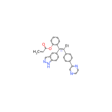 C=CC(=O)Oc1ccccc1/C(=C(\CC)c1ccc(-c2cnccn2)cc1)c1ccc2[nH]ncc2c1